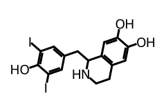 Oc1cc2c(cc1O)C(Cc1cc(I)c(O)c(I)c1)NCC2